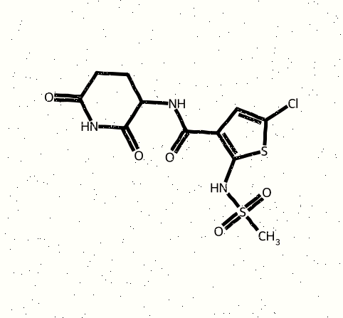 CS(=O)(=O)Nc1sc(Cl)cc1C(=O)NC1CCC(=O)NC1=O